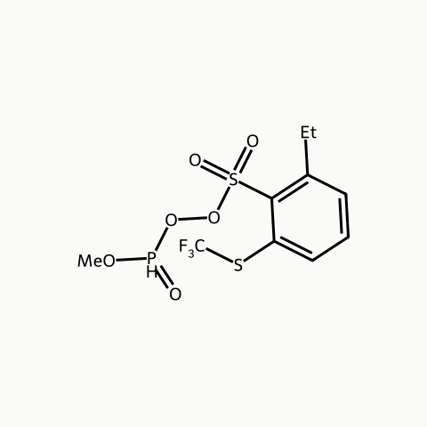 CCc1cccc(SC(F)(F)F)c1S(=O)(=O)OO[PH](=O)OC